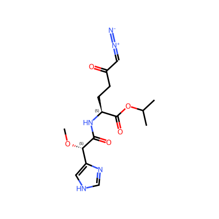 CO[C@H](C(=O)N[C@@H](CCC(=O)C=[N+]=[N-])C(=O)OC(C)C)c1c[nH]cn1